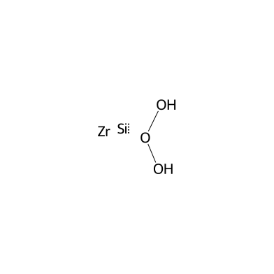 OOO.[Si].[Zr]